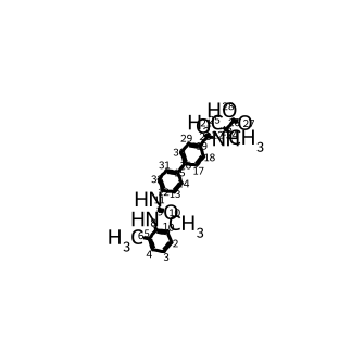 Cc1cccc(C)c1NC(=O)Nc1ccc(-c2ccc(C(=O)NC(C)(C)C(=O)O)cc2)cc1